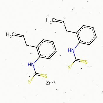 C=CCc1ccccc1NC(=S)[S-].C=CCc1ccccc1NC(=S)[S-].[Zn+2]